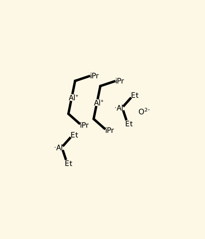 CC(C)[CH2][Al+][CH2]C(C)C.CC(C)[CH2][Al+][CH2]C(C)C.C[CH2][Al][CH2]C.C[CH2][Al][CH2]C.[O-2]